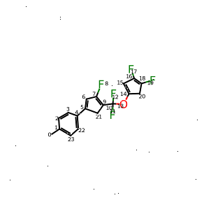 Cc1ccc(C2=CC(F)=C(C(F)(F)OC3=CC(F)=C(F)C3)C2)cc1